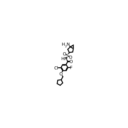 NC12CC1CC(S(=O)(=O)NC(=O)c1cc(Cl)c(OCC3CCCC3)cc1F)C2